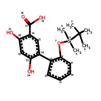 CC(C)(C)[Si](C)(C)Oc1ccccc1-c1cc(C(=O)O)c(O)cc1O